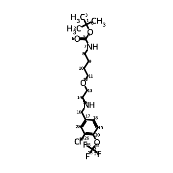 CC(C)(C)OC(=O)NCCCCOCCNCc1ccc(OC(F)(F)F)c(Cl)c1